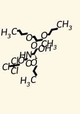 CCCCOCC(O[C@H](O)[C@H](COCCCC)NC(=O)OCC(Cl)(Cl)Cl)[C@H](C)OCCCC